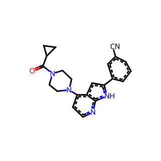 N#Cc1cccc(-c2cc3c(N4CCN(C(=O)C5CC5)CC4)ccnc3[nH]2)c1